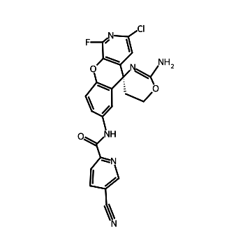 N#Cc1ccc(C(=O)Nc2ccc3c(c2)[C@@]2(CCOC(N)=N2)c2cc(Cl)nc(F)c2O3)nc1